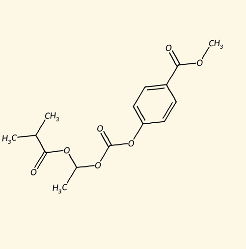 COC(=O)c1ccc(OC(=O)OC(C)OC(=O)C(C)C)cc1